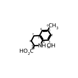 Cc1ccc2c(c1)CCC(C(=O)O)N2.Cl